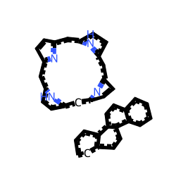 C1=Cc2cc3ccc(cc4nc(cc5ccc(cc1n2)[nH]5)C=C4)[nH]3.c1ccc2c(c1)ccc1c3ccccc3ccc21